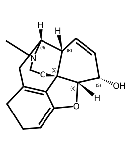 CN1CC[C@]23C4=C5CCC=C4O[C@H]2[C@@H](O)C=C[C@H]3[C@H]1C5